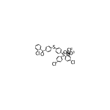 O=C(c1ccc(Sc2ccc(S(OS(=O)(=O)C(F)(F)F)(c3ccc(Cl)cc3)c3ccc(Cl)cc3)cc2)cc1)c1ccccc1Cl